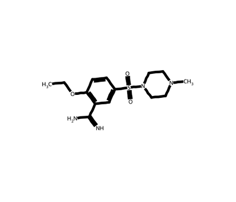 CCOc1ccc(S(=O)(=O)N2CCN(C)CC2)cc1C(=N)N